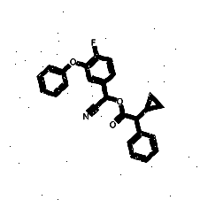 N#CC(OC(=O)C(c1ccccc1)C1CC1)c1ccc(F)c(Oc2ccccc2)c1